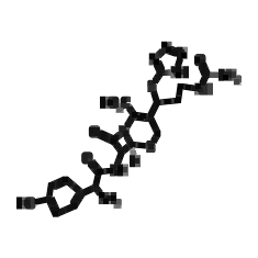 NC(=O)NCCC(Sc1nnn[nH]1)C1=C(C(=O)O)N2C(=O)C(NC(=O)C(N)c3ccc(O)cc3)[C@@H]2SC1